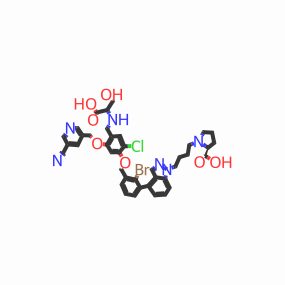 N#Cc1cncc(COc2cc(OCc3cccc(-c4cccc5c4cnn5CCCCN4CCC[C@H]4C(=O)O)c3Br)c(Cl)cc2CNC(CO)C(=O)O)c1